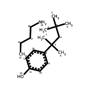 CC(C)(C)CC(C)(C)c1ccc(O)cc1.CCCCN